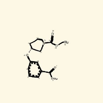 COC(=O)c1cccc(O[C@@H]2CCN(C(=O)OC(C)(C)C)C2)c1